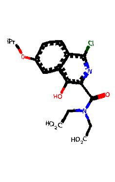 CC(C)Oc1ccc2c(Cl)nc(C(=O)N(CC(=O)O)CC(=O)O)c(O)c2c1